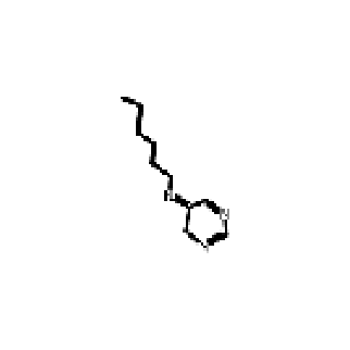 CCCCCCN=C1C=NC=NC1